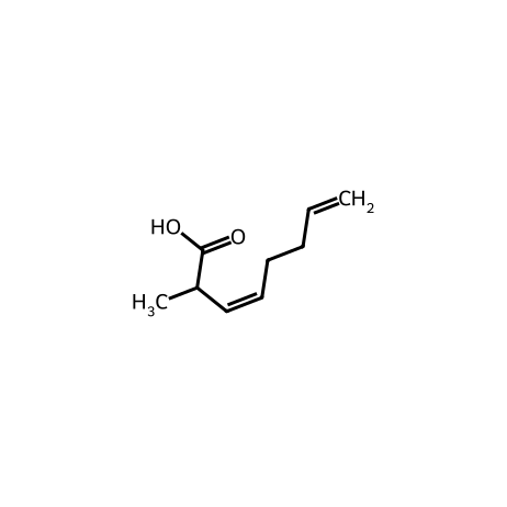 C=CCC/C=C\C(C)C(=O)O